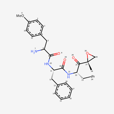 COc1ccc(CC(N)C(=O)N[C@@H](Cc2ccccc2)C(=O)N[C@@H](CC(C)C)C(=O)[C@@]2(C)CO2)cc1